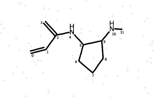 C=CC(=C)NC1CCCC1NC